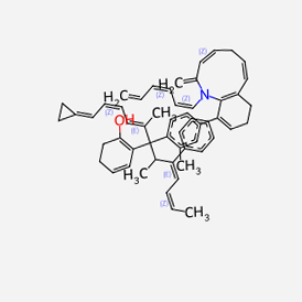 C=C/C=C\C=C/N1C(=C)/C=C\CC=CC2=C1C(c1ccc(C(C3=C(O)CCC=C3)(/C(C)=C/C=C\C=C3CC3)C(C)/C(=C\C=C/C)c3ccccc3)c(C)c1)=CCC2